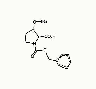 CC(C)(C)O[C@H]1CCN(C(=O)OCc2ccccc2)[C@@H]1C(=O)O